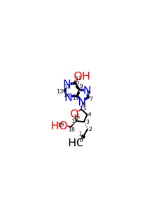 C#CC[C@H]1C[C@H](n2cnc3c(O)ncnc32)O[C@@H]1CO